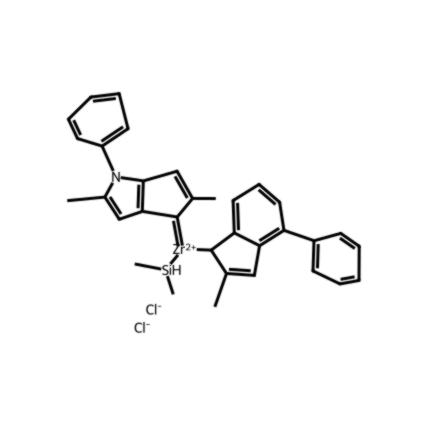 CC1=Cc2c(cc(C)n2-c2ccccc2)[C]1=[Zr+2]([CH]1C(C)=Cc2c(-c3ccccc3)cccc21)[SiH](C)C.[Cl-].[Cl-]